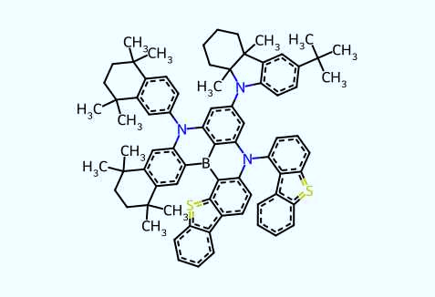 CC(C)(C)c1ccc2c(c1)C1(C)CCCCC1(C)N2c1cc2c3c(c1)N(c1cccc4sc5ccccc5c14)c1ccc4c(sc5ccccc54)c1B3c1cc3c(cc1N2c1ccc2c(c1)C(C)(C)CCC2(C)C)C(C)(C)CCC3(C)C